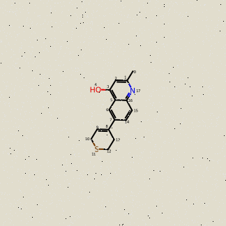 Cc1cc(O)c2cc(C3=CCSCC3)ccc2n1